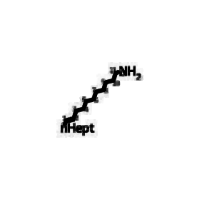 CCCCCCCC=CCCCCCCCC[CH]N